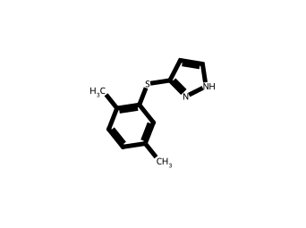 Cc1ccc(C)c(Sc2cc[nH]n2)c1